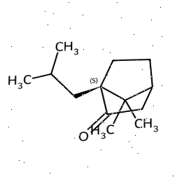 CC(C)C[C@]12CCC(CC1=O)C2(C)C